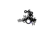 CC[C@]1(C(=O)NS(=O)(=O)C2(C)CC2)/C=C\CCCCC[C@H](NC(=O)OC(C)(C)C)C(=O)N2C[C@H](Oc3nc4c(-c5nc(C6CCCCC6)cs5)cccc4nc3C(F)(F)F)C[C@H]2C(=O)N1